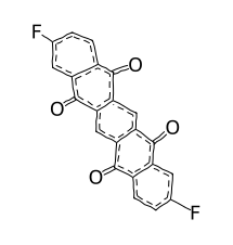 O=c1c2ccc(F)cc2c(=O)c2cc3c(=O)c4ccc(F)cc4c(=O)c3cc12